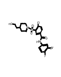 O=C(Nc1ccc(F)c(Br)c1)c1ccc(Cl)c(S(=O)(=O)N2CCC(CCO)CC2)c1